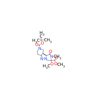 COC(=O)C1(OC)Cn2nc3c(c2C(=O)N1C)CN(C(=O)OC(C)(C)C)CC3